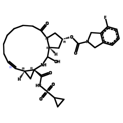 O=C(O[C@@H]1C[C@H]2C(O)N[C@]3(C(=O)NS(=O)(=O)C4CC4)C[C@H]3/C=C\CCCCCCC(=O)N2C1)N1Cc2cccc(F)c2C1